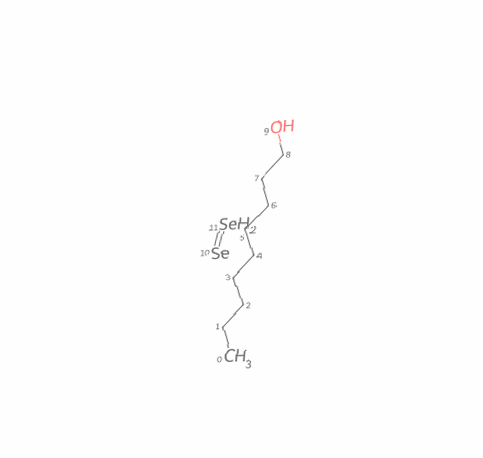 CCCCCCCCCO.[Se]=[SeH2]